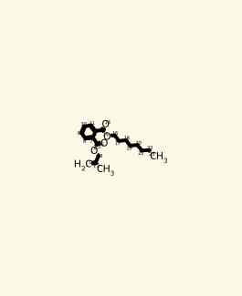 C=C(C)COC(=O)c1ccccc1C(=O)OCCCCCCCC